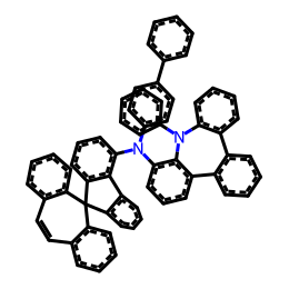 C1=Cc2ccccc2C2(c3ccccc31)c1ccccc1-c1c(N(c3ccc(-c4ccccc4)cc3)c3cccc4c3N(c3ccccc3)c3ccccc3-c3ccccc3-4)cccc12